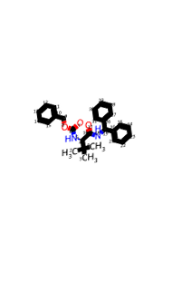 CC(C)(C)[C@H](NC(=O)OCc1ccccc1)C(=O)NC(c1ccccc1)c1ccccc1